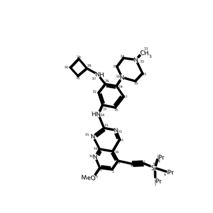 COc1cc(C#C[Si](C(C)C)(C(C)C)C(C)C)c2cnc(Nc3ccc(N4CCN(C)CC4)c(NC4CCC4)c3)nc2n1